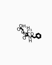 C[C@H]1[C@H](NC(=O)Cc2ccccc2)C(=O)N1OCC(=O)O